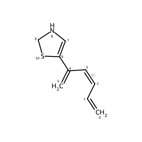 C=C/C=C\C(=C)C1=CNCS1